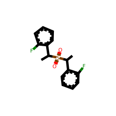 CC(c1ccccc1F)S(=O)(=O)C(C)c1ccccc1F